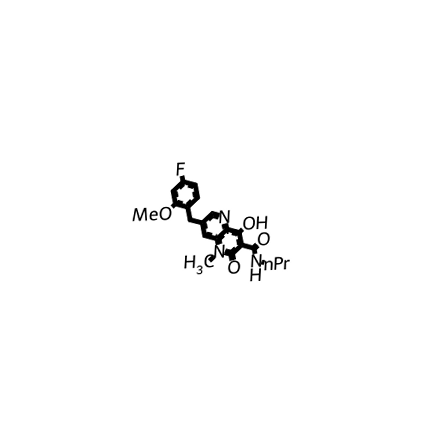 CCCNC(=O)c1c(O)c2ncc(Cc3ccc(F)cc3OC)cc2n(C)c1=O